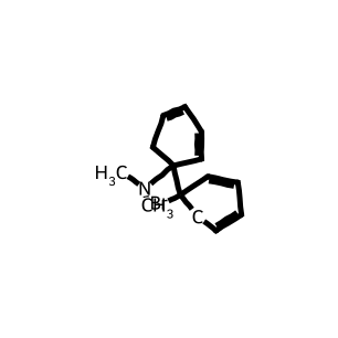 CN(C)C1(C2(Br)C=CC=CC2)C=CC=CC1